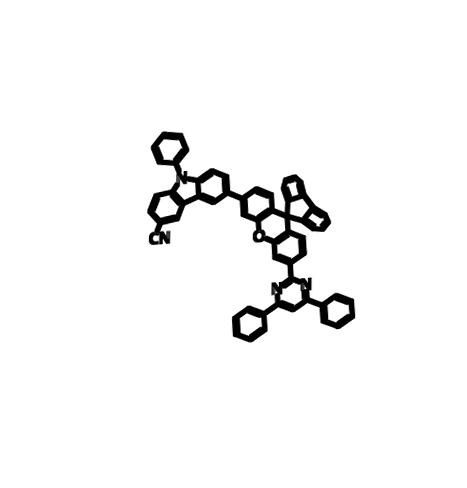 N#Cc1ccc2c(c1)c1cc(-c3ccc4c(c3)Oc3cc(-c5nc(-c6ccccc6)cc(-c6ccccc6)n5)ccc3C43c4ccccc4-c4ccccc43)ccc1n2-c1ccccc1